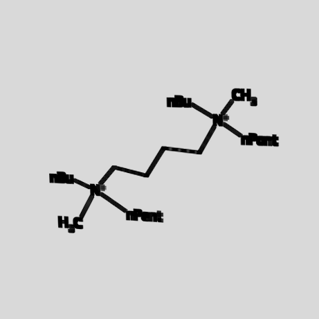 CCCCC[N+](C)(CCCC)CCCC[N+](C)(CCCC)CCCCC